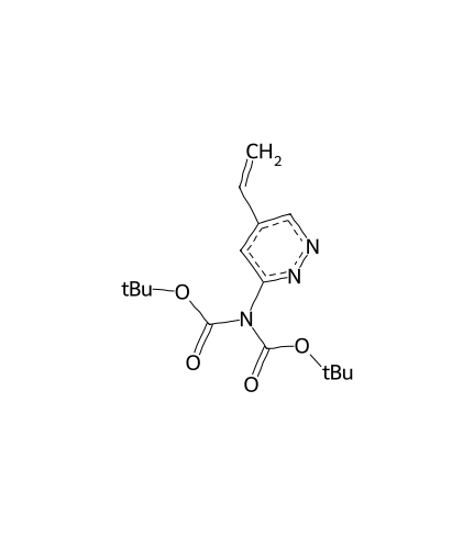 C=Cc1cnnc(N(C(=O)OC(C)(C)C)C(=O)OC(C)(C)C)c1